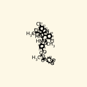 COc1cc(C(=O)OC(C)OC(=O)N2CCS(=O)(=O)CC2)ccc1NC(=O)C1NC(CC(C)(C)C)C(C#N)(c2ccc(Cl)cc2F)C1c1cccc(Cl)c1F